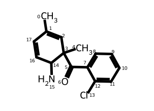 CC1=CC(C)(C(=O)c2ccccc2Cl)C(N)C=C1